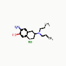 Br.CCCN(CCC)C1CCc2cc(O)c(N)cc2C1